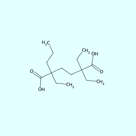 CCCC(CC)(CCC(CC)(CC)C(=O)O)C(=O)O